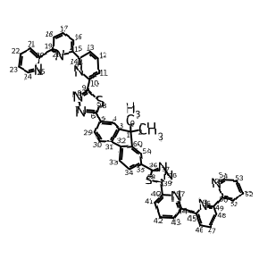 CC1(C)c2cc(-c3nnc(-c4cccc(-c5cccc(-c6ccccn6)n5)n4)s3)ccc2-c2ccc(-c3nnc(-c4cccc(-c5cccc(-c6ccccn6)n5)n4)s3)cc21